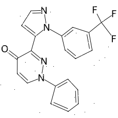 O=c1ccn(-c2ccccc2)nc1-c1ccnn1-c1cccc(C(F)(F)F)c1